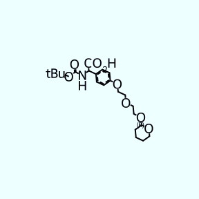 CC(C)(C)OC(=O)NC(C(=O)O)c1ccc(OCCOCCO[C@@H]2CCCCO2)cc1